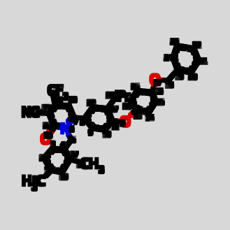 Cc1ccc(Cn2c(-c3ccc(Oc4ccc(OCc5ccccc5)cc4)c(C(C)C)c3)cc(C(F)(F)F)c(C#N)c2=O)c(C)c1